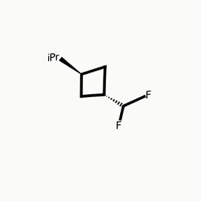 CC(C)[C@H]1C[C@H](C(F)F)C1